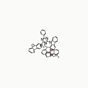 Cc1ccccc1-c1ccc2c3ccccc3n(-c3nc(-c4ccccc4)nc(-c4ccc5c(c4)oc4ccccc45)n3)c2c1C(C)c1ccccc1C1=NC2C=CC=CC2O1